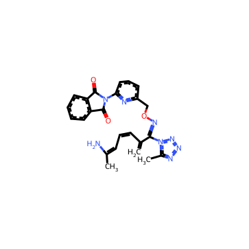 C=C(/C=C\C=C(\C)N)/C(=N\OCc1cccc(N2C(=O)c3ccccc3C2=O)n1)n1nnnc1C